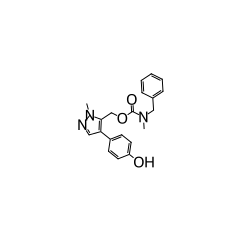 CN(Cc1ccccc1)C(=O)OCc1c(-c2ccc(O)cc2)cnn1C